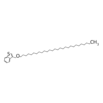 CCCCCCCCCCCCCCCCCCCCCCCCCCCCOCc1csc2ccccc12